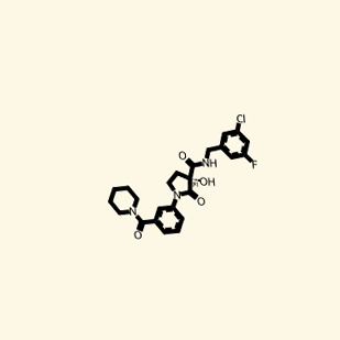 O=C(c1cccc(N2CC[C@@](O)(C(=O)NCc3cc(F)cc(Cl)c3)C2=O)c1)N1CCCCC1